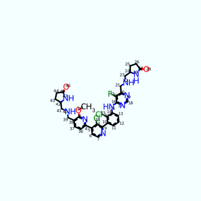 COc1nc(-c2ccnc(-c3cccc(Nc4ncnc(CNCC5CCC(=O)N5)c4F)c3Cl)c2Cl)ccc1CNCC1CCC(=O)N1